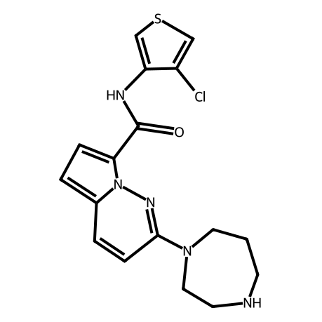 O=C(Nc1cscc1Cl)c1ccc2ccc(N3CCCNCC3)nn12